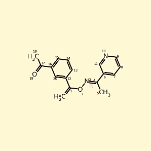 C=C(O/N=C(\C)c1cccnc1)c1cccc(C(C)=O)c1